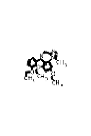 CCOc1cccc(C2=NCc3nnc(C)n3-c3cc(OCC)cc(OCC)c32)c1